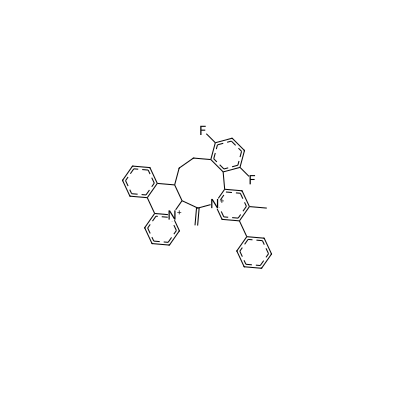 C=C1C2C(CCc3c(F)ccc(F)c3-c3cc(C)c(-c4ccccc4)c[n+]31)c1ccccc1-c1cccc[n+]12